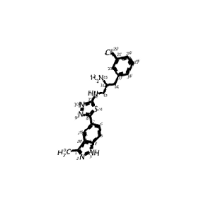 Cc1n[nH]c2ccc(-c3nnc(NCC(N)Cc4cccc(Cl)c4)s3)cc12